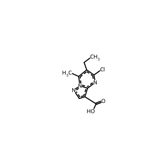 CCc1c(Cl)nc2c(C(=O)O)cnn2c1C